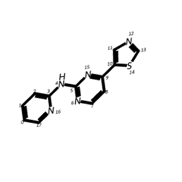 c1ccc(Nc2nccc(-c3cncs3)n2)nc1